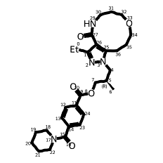 CCc1nn(C[C@@H](C)COC(=O)c2ccc(C(=O)N3CCCCC3)cc2)c2c1C(=O)NCCCOCCC2